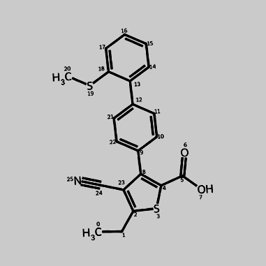 CCc1sc(C(=O)O)c(-c2ccc(-c3ccccc3SC)cc2)c1C#N